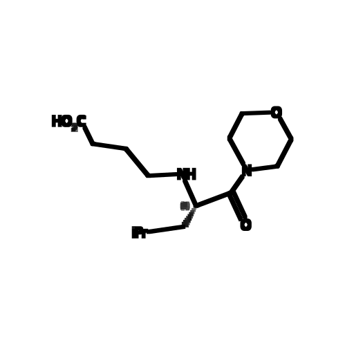 CC(C)C[C@H](NCCCC(=O)O)C(=O)N1CCOCC1